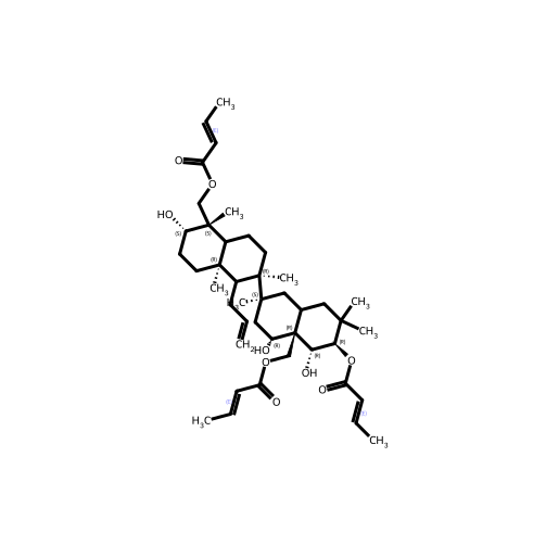 C=CCC1[C@@]2(C)CC[C@H](O)[C@](C)(COC(=O)/C=C/C)C2CC[C@@]1(C)[C@@]1(C)CC2CC(C)(C)[C@@H](OC(=O)/C=C/C)[C@H](O)[C@]2(COC(=O)/C=C/C)[C@H](O)C1